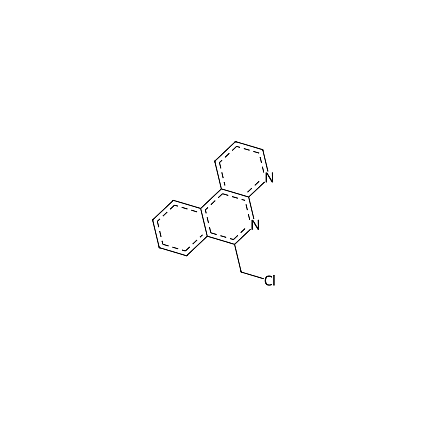 ClCc1nc2ncccc2c2ccccc12